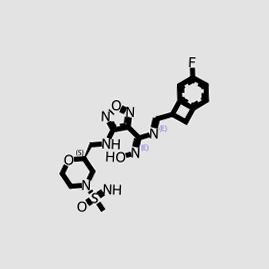 CS(=N)(=O)N1CCO[C@@H](CNc2nonc2C(/N=C/C2Cc3ccc(F)cc32)=N\O)C1